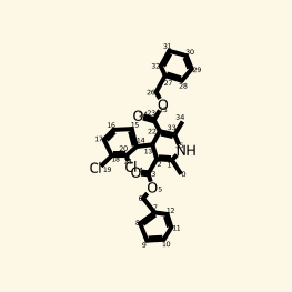 CC1=C(C(=O)OCc2ccccc2)C(c2cccc(Cl)c2Cl)C(C(=O)OCc2ccccc2)=C(C)N1